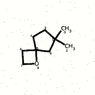 CC1(C)CCC2(CCO2)C1